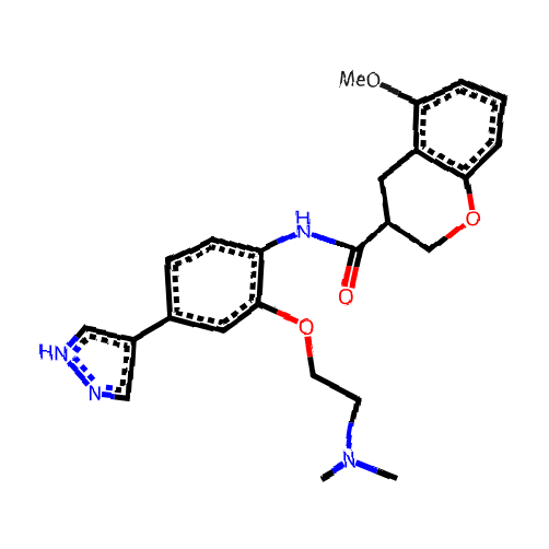 COc1cccc2c1CC(C(=O)Nc1ccc(-c3cn[nH]c3)cc1OCCN(C)C)CO2